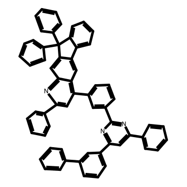 c1ccc(-c2cccc(-c3cc(-c4ccccc4)nc(-c4cccc(-c5cc(-c6ccccc6)nc6cc7c(cc56)-c5ccccc5C7(c5ccccc5)c5ccccc5)c4)n3)c2)cc1